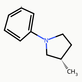 C[C@H]1CCN(c2c[c]ccc2)C1